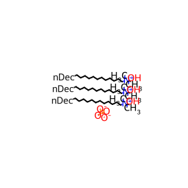 CCCCCCCCCCCCCCCCCCCCCC[N+](C)(C)O.CCCCCCCCCCCCCCCCCCCCCC[N+](C)(C)O.CCCCCCCCCCCCCCCCCCCCCC[N+](C)(C)O.O=P([O-])([O-])[O-]